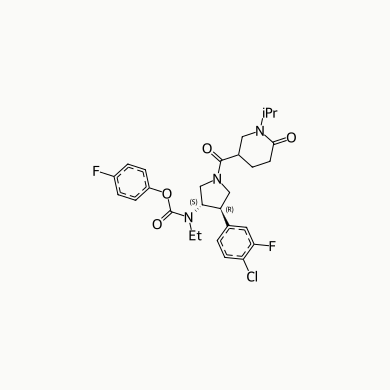 CCN(C(=O)Oc1ccc(F)cc1)[C@@H]1CN(C(=O)C2CCC(=O)N(C(C)C)C2)C[C@H]1c1ccc(Cl)c(F)c1